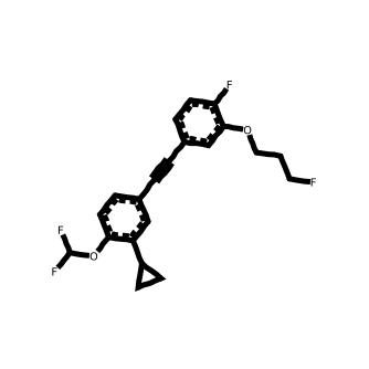 FCCCOc1cc(C#Cc2ccc(OC(F)F)c(C3CC3)c2)ccc1F